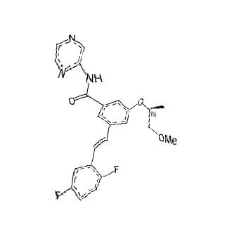 COC[C@H](C)Oc1cc(C=Cc2cc(F)ccc2F)cc(C(=O)Nc2cnccn2)c1